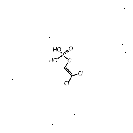 O=P(O)(O)OC=C(Cl)Cl